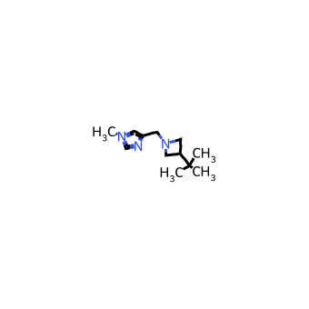 Cn1cnc(CN2CC(C(C)(C)C)C2)c1